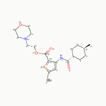 CC(C)(C)c1cc(NC(=O)[C@H]2CC[C@H](C)CC2)c(C(=O)OCCN2CCOCC2)s1